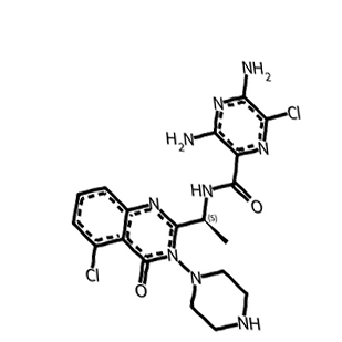 C[C@H](NC(=O)c1nc(Cl)c(N)nc1N)c1nc2cccc(Cl)c2c(=O)n1N1CCNCC1